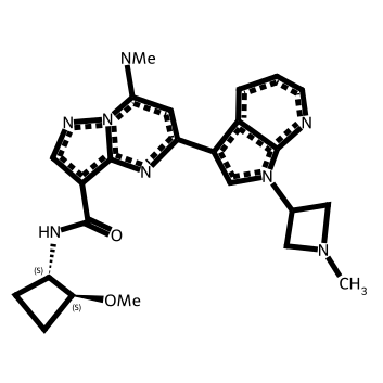 CNc1cc(-c2cn(C3CN(C)C3)c3ncccc23)nc2c(C(=O)N[C@H]3CC[C@@H]3OC)cnn12